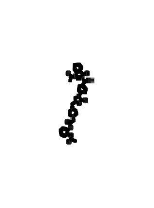 CC(=O)Oc1ccccc1OC(=O)CN1CCN(CC2CN(c3ccc(C(=N)NC(=O)c4ccccc4OC(C)=O)cc3)C(=O)O2)CC1